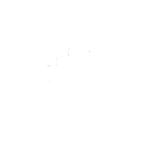 c1ccc(N2c3cccc4c3[SiH]3c5c(cccc5N(c5ccccc5)c5c3c2cc2cc3c6c(c52)N(c2ccccc2)c2cccc5c2[SiH]6c2c(cccc2N3c2ccccc2)O5)O4)cc1